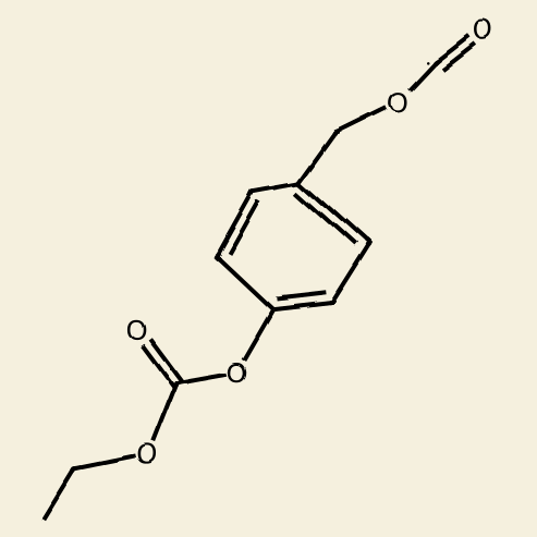 CCOC(=O)Oc1ccc(CO[C]=O)cc1